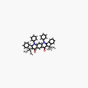 CC1(C)c2ccccc2-c2c1c(=O)c1cc3c(=O)c4c(n(-c5ccccc5)c3cc1n2-c1ccccc1)-c1ccccc1C4(C)C